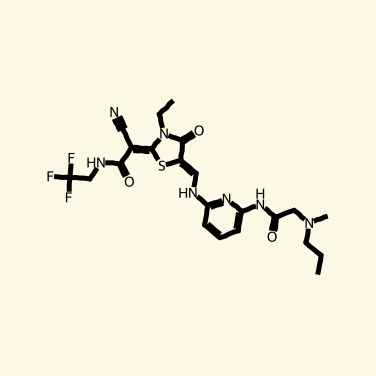 CCCN(C)CC(=O)Nc1cccc(NC=c2sc(=C(C#N)C(=O)NCC(F)(F)F)n(CC)c2=O)n1